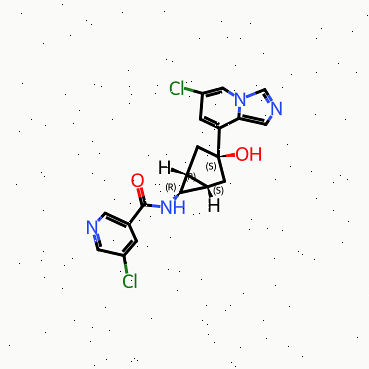 O=C(N[C@H]1[C@@H]2C[C@](O)(c3cc(Cl)cn4cncc34)C[C@@H]21)c1cncc(Cl)c1